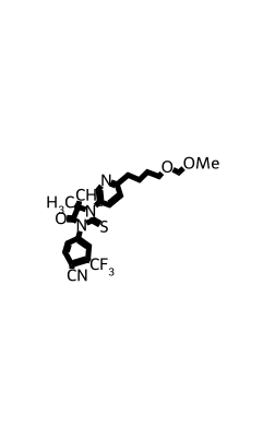 COCOCCCCc1ccc(N2C(=S)N(c3ccc(C#N)c(C(F)(F)F)c3)C(=O)C2(C)C)cn1